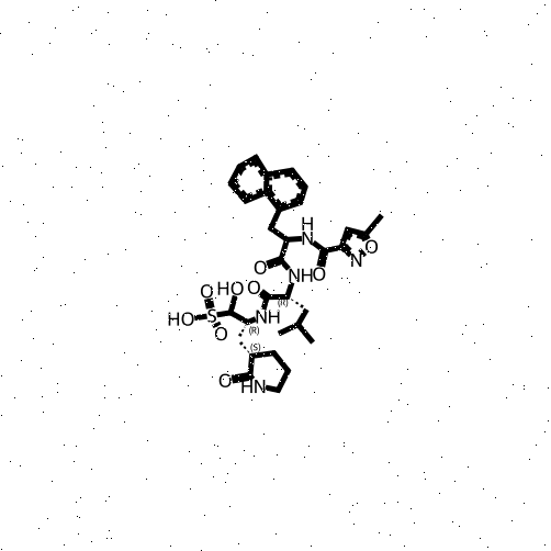 Cc1cc(C(=O)NC(Cc2cccc3ccccc23)C(=O)N[C@H](CC(C)C)C(=O)N[C@H](C[C@@H]2CCCNC2=O)C(O)S(=O)(=O)O)no1